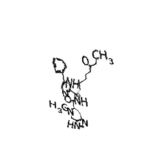 CCC(=O)CCCCC[C@H](NC(=O)C1Cc2nc[nH]c2CN1C)c1ncc(-c2ccccc2)[nH]1